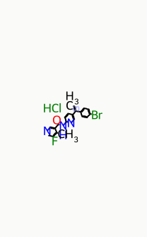 C/C=C(/c1ccc(Br)cc1)c1ccc(NC(=O)c2cncc(F)c2C)nc1.Cl